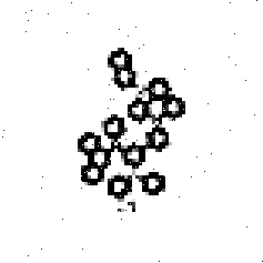 N#Cc1cccc(N(c2ccccc2)c2cc(-c3cccc(N(c4ccccc4)c4cccc5c4c4ccccc4n5-c4ccc5ccccc5c4)c3)cc(N(c3ccccc3)c3cc4ccccc4c4ccccc34)c2)c1